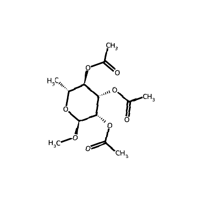 CO[C@H]1O[C@H](C)[C@@H](OC(C)=O)[C@H](OC(C)=O)[C@@H]1OC(C)=O